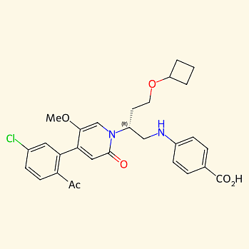 COc1cn([C@H](CCOC2CCC2)CNc2ccc(C(=O)O)cc2)c(=O)cc1-c1cc(Cl)ccc1C(C)=O